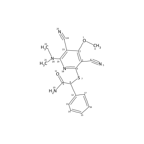 COc1c(C#N)c(SC(C(N)=O)c2ccccc2)nc(N(C)C)c1C#N